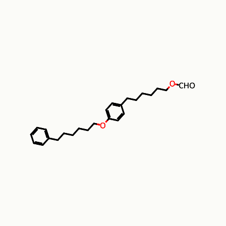 O=COCCCCCCc1ccc(OCCCCCCc2ccccc2)cc1